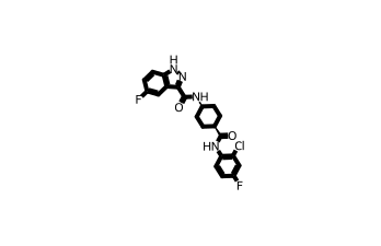 O=C(N[C@H]1CC[C@H](C(=O)Nc2ccc(F)cc2Cl)CC1)c1n[nH]c2ccc(F)cc12